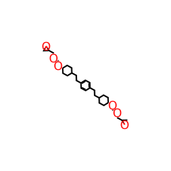 c1cc(CCC2CCC(OCOCC3CO3)CC2)ccc1CCC1CCC(OCOCC2CO2)CC1